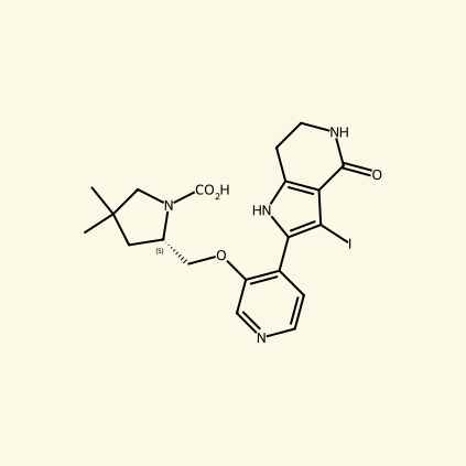 CC1(C)C[C@@H](COc2cnccc2-c2[nH]c3c(c2I)C(=O)NCC3)N(C(=O)O)C1